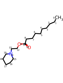 CCCCCCCCCC(=O)OCCN1CCCCC1